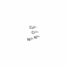 [Al+3].[Cr+3].[Cu-6].[Ni+2]